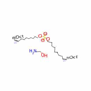 CCCCCCCC/C=C\CCCCCCCCOS(=O)(=O)OCCCCCCCC/C=C\CCCCCCCC.NCCO